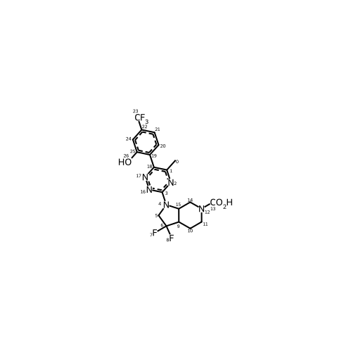 Cc1nc(N2CC(F)(F)C3CCN(C(=O)O)CC32)nnc1-c1ccc(C(F)(F)F)cc1O